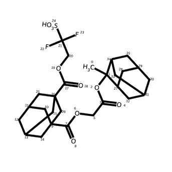 CC1(OC(=O)COC(=O)C23CC4CC(C2)CC(C(=O)OCC(F)(F)S(=O)(=O)O)(C4)C3)C2CC3CC(C2)CC1C3